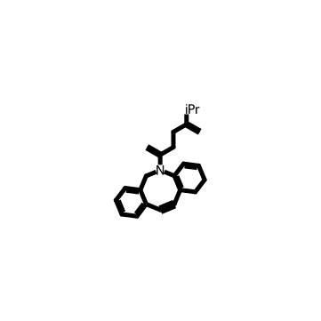 C=C(CCC(=C)N1Cc2ccccc2C#CC2=C1C=CCC2)C(C)C